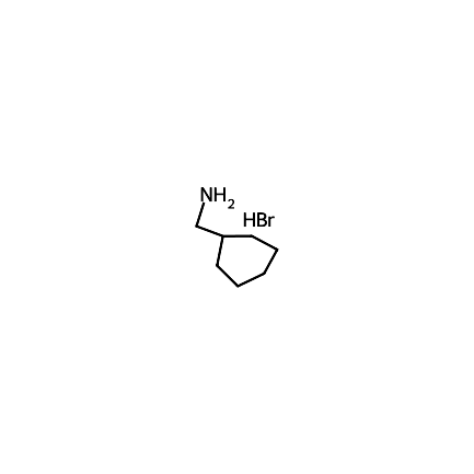 Br.NCC1CCCCC1